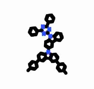 Cc1ccc(-c2ccc3c(c2)c2cc(-c4ccc(C)cc4)ccc2n3-c2ccc3c(c2)c2ccccc2n3-c2nc(-c3ccccc3)nc(-c3ccccc3)n2)cc1